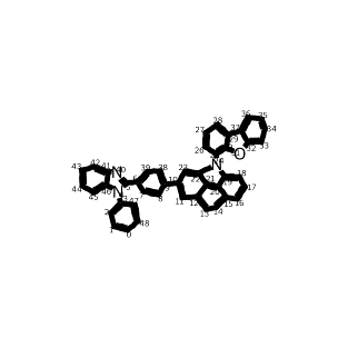 c1ccc(-n2c(-c3ccc(-c4cc5ccc6cccc7c6c5c(c4)n7-c4cccc5c4oc4ccccc45)cc3)nc3ccccc32)cc1